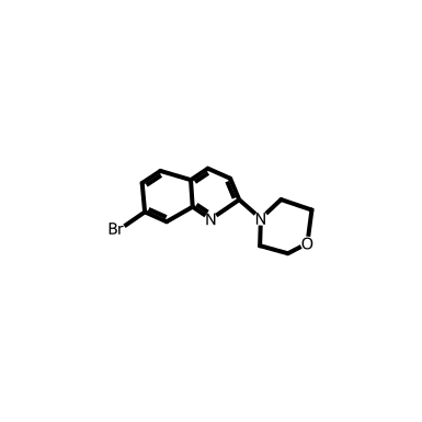 Brc1ccc2ccc(N3CCOCC3)nc2c1